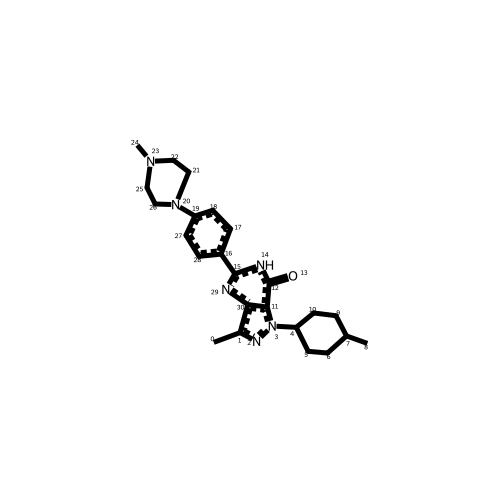 Cc1nn(C2CCC(C)CC2)c2c(=O)[nH]c(-c3ccc(N4CCN(C)CC4)cc3)nc12